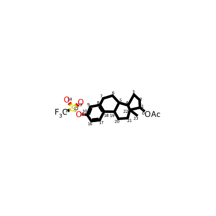 CC(=O)OC1CCC2C3CCc4cc(OS(=O)(=O)C(F)(F)F)ccc4C3CCC12C